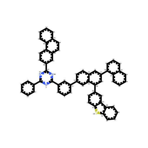 c1ccc(-c2nc(-c3cccc(-c4ccc5cc(-c6cccc7ccccc67)cc(-c6ccc7sc8ccccc8c7c6)c5c4)c3)nc(-c3ccc4c(ccc5ccccc54)c3)n2)cc1